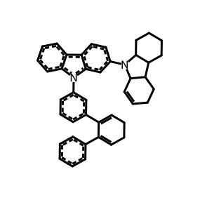 C1=CC2C(CC1)C1CCCCC1N2c1ccc2c3ccccc3n(-c3cccc(C4=CCCC=C4c4ccccc4)c3)c2c1